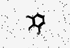 Cc1c[c]cc(F)c1C